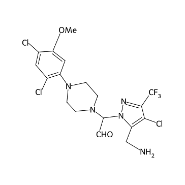 COc1cc(N2CCN(C(C=O)n3nc(C(F)(F)F)c(Cl)c3CN)CC2)c(Cl)cc1Cl